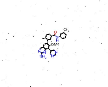 COc1c(-c2cc(C(=O)Nc3cccc(C(F)(F)F)c3)ccc2C)cc2cnc(N)nc2c1-c1cncnc1